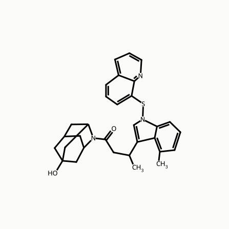 Cc1cccc2c1c(C(C)CC(=O)N1C3CC4CC1CC(O)(C4)C3)cn2Sc1cccc2cccnc12